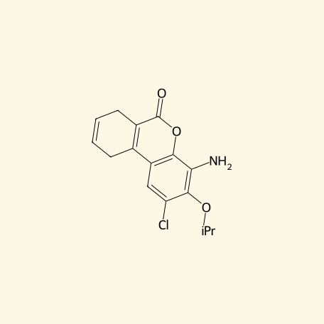 CC(C)Oc1c(Cl)cc2c3c(c(=O)oc2c1N)CC=CC3